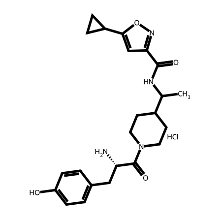 CC(NC(=O)c1cc(C2CC2)on1)C1CCN(C(=O)[C@@H](N)Cc2ccc(O)cc2)CC1.Cl